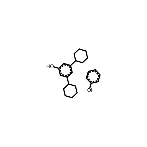 Oc1cc(C2CCCCC2)cc(C2CCCCC2)c1.Oc1ccccc1